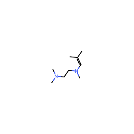 CC(C)=CN(C)CCN(C)C